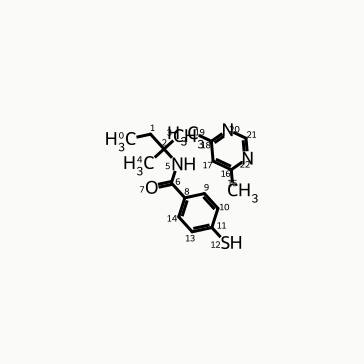 CCC(C)(C)NC(=O)c1ccc(S)cc1.Cc1cc(C)ncn1